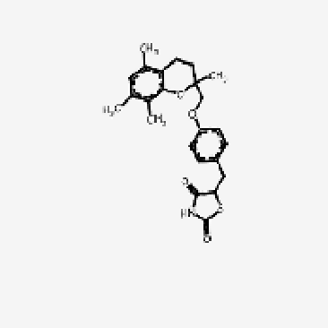 Cc1cc(C)c2c(c1C)OC(C)(COc1ccc(CC3SC(=O)NC3=O)cc1)CC2